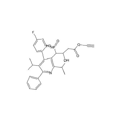 C#COC(=O)CC(O)C(c1c(C(C)C)nc(-c2ccccc2)c(C(C)C)c1-c1ccc(F)cc1)[PH](=O)O